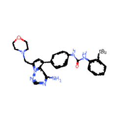 CC(C)(C)c1ccccc1NC(=O)Nc1ccc(-c2cc(CN3CCOCC3)n3ncnc(N)c23)cc1